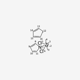 [CH3][Zr]([CH3])([CH3])([CH3])([Cl])([Cl])[n]1cccc1.[CH]1C=CC=C1